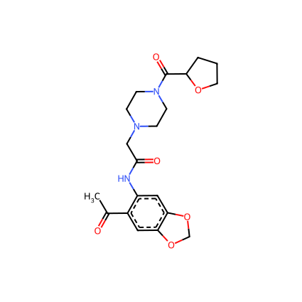 CC(=O)c1cc2c(cc1NC(=O)CN1CCN(C(=O)C3CCCO3)CC1)OCO2